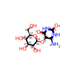 Nc1[nH]c(=O)[nH]c(=O)c1O[C@@H]1O[C@H](CO)[C@@H](O)[C@H](O)[C@H]1O